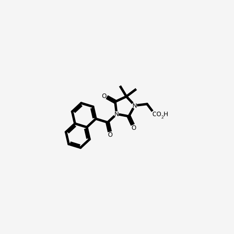 CC1(C)C(=O)N(C(=O)c2cccc3ccccc23)C(=O)N1CC(=O)O